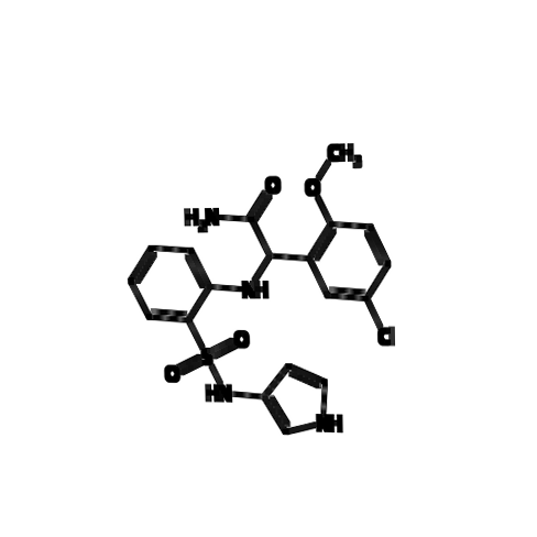 COc1ccc(Cl)cc1C(Nc1ccccc1S(=O)(=O)Nc1cc[nH]c1)C(N)=O